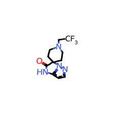 O=C1Nc2ccnn2C12CCN(CC(F)(F)F)CC2